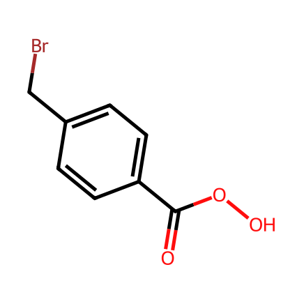 O=C(OO)c1ccc(CBr)cc1